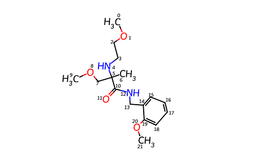 COCCNC(C)(COC)C(=O)NCc1ccccc1OC